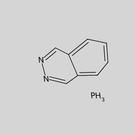 P.c1ccc2cnncc2c1